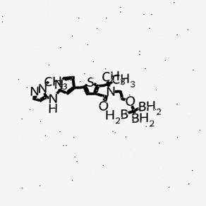 BC(B)(B)OCCN1C(=O)c2cc(-c3ccnc(Nc4ccnn4C)c3)sc2C1(C)C